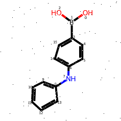 OB(O)c1ccc(Nc2ccccc2)cc1